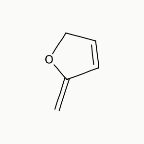 C=C1C=CCO1